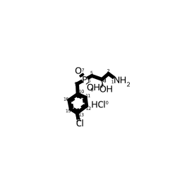 Cl.NC[C@H](O)CP(=O)(O)Cc1ccc(Cl)cc1